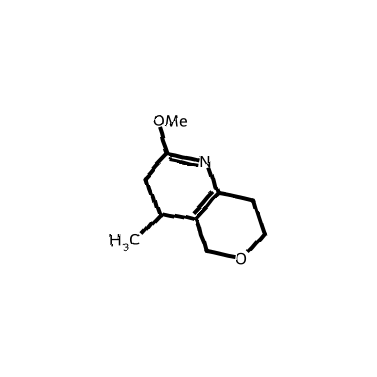 COC1=NC2=C(COCC2)C(C)C1